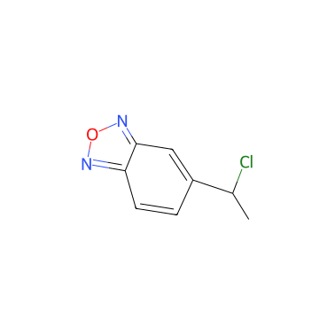 CC(Cl)c1ccc2nonc2c1